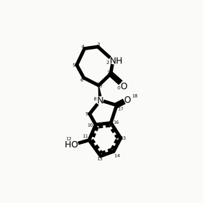 O=C1NCCCC[C@@H]1N1Cc2c(O)cccc2C1=O